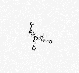 O=c1cc(CCc2ccccc2)oc2c1C(Oc1ccc(OC3C(O)[C@H](O)c4oc(CCc5ccccc5)cc(=O)c4[C@@H]3O)c3c(=O)cc(CCc4ccccc4)oc13)[C@@H](O)[C@@H](O)C2O